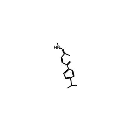 C=C(/C=C\C(C)=C/NC)c1ccc(C(C)C)cc1